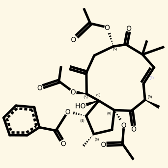 C=C1C[C@H](OC(C)=O)C(=O)C(C)(C)/C=C/[C@@H](C)C(=O)[C@@]2(OC(C)=O)C[C@H](C)[C@H](OC(=O)c3ccccc3)[C@]2(O)[C@H]1OC(C)=O